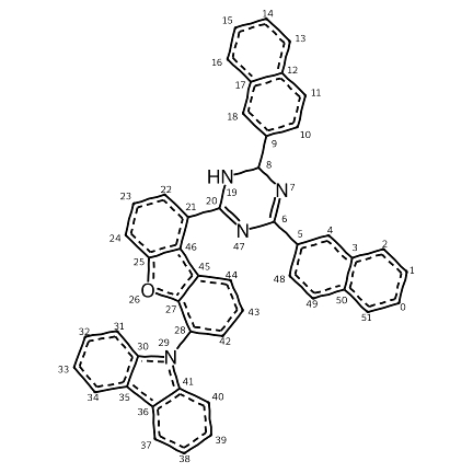 c1ccc2cc(C3=NC(c4ccc5ccccc5c4)NC(c4cccc5oc6c(-n7c8ccccc8c8ccccc87)cccc6c45)=N3)ccc2c1